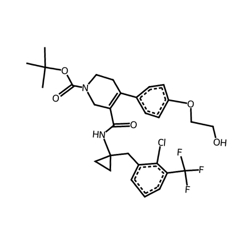 CC(C)(C)OC(=O)N1CCC(c2ccc(OCCO)cc2)=C(C(=O)NC2(Cc3cccc(C(F)(F)F)c3Cl)CC2)C1